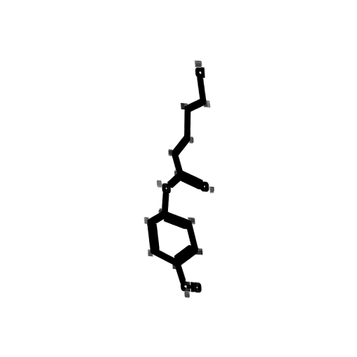 O=Cc1ccc(OC(=O)CCCCCl)cc1